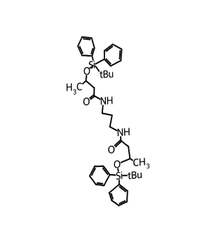 CC(CC(=O)NCCCNC(=O)CC(C)O[Si](c1ccccc1)(c1ccccc1)C(C)(C)C)O[Si](c1ccccc1)(c1ccccc1)C(C)(C)C